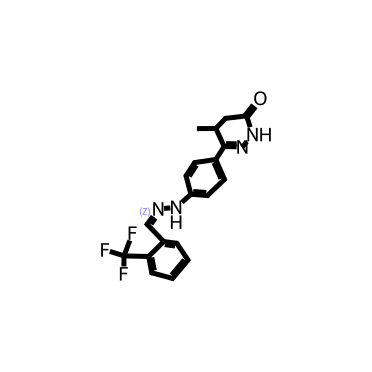 CC1CC(=O)NN=C1c1ccc(N/N=C\c2ccccc2C(F)(F)F)cc1